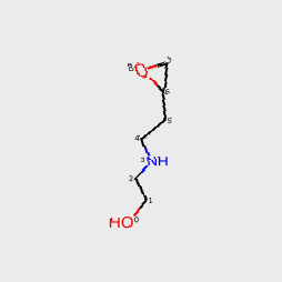 OCCNCCC1CO1